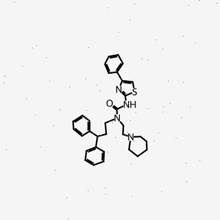 O=C(Nc1nc(-c2ccccc2)cs1)N(CCC(c1ccccc1)c1ccccc1)CCN1CCCCC1